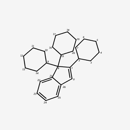 C1=C(C2CCCCC2)C(C2CCCCC2)(C2CCCCC2)c2ccccc21